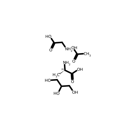 CC(=O)O.C[C@H](N)C(=O)O.NCC(=O)O.OCC(O)CO